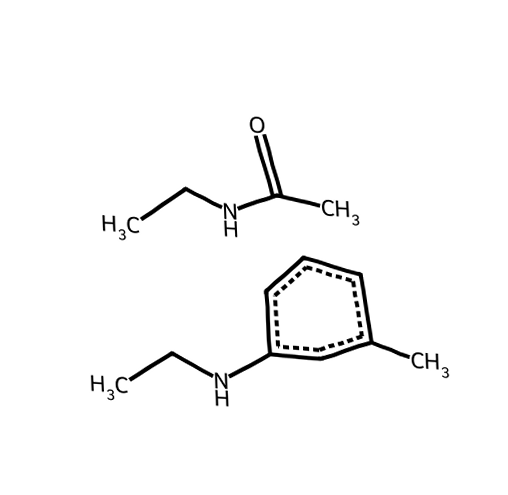 CCNC(C)=O.CCNc1cccc(C)c1